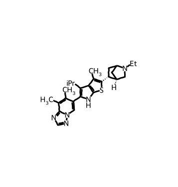 CCN1C[C@@H]2CC1C[C@H]2c1sc2[nH]c(-c3cn4ncnc4c(C)c3C)c(C(C)C)c2c1C